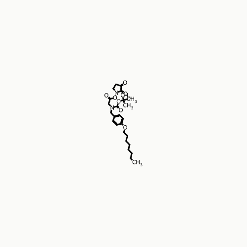 CCCCCCCCOc1ccc(CN(CC(=O)ON2CCC(=O)C2=O)C(=O)OC(C)(C)C)cc1